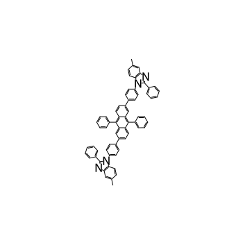 Cc1ccc2c(c1)nc(-c1ccccc1)n2-c1ccc(-c2ccc3c(-c4ccccc4)c4cc(-c5ccc(-n6c(-c7ccccc7)nc7cc(C)ccc76)cc5)ccc4c(-c4ccccc4)c3c2)cc1